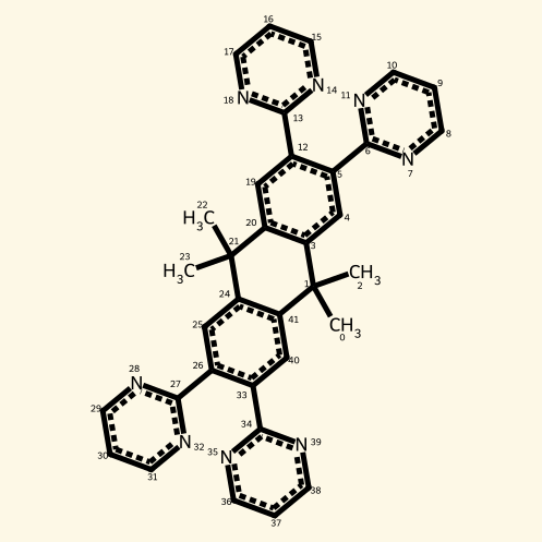 CC1(C)c2cc(-c3ncccn3)c(-c3ncccn3)cc2C(C)(C)c2cc(-c3ncccn3)c(-c3ncccn3)cc21